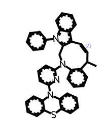 CC1/C=C\c2c(n(-c3ccccc3)c3ccccc23)CN(c2cccc(N3c4ccccc4Sc4ccccc43)n2)c2ccccc21